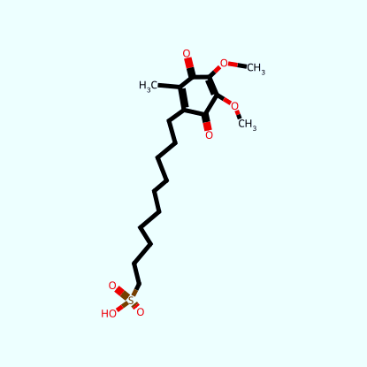 COC1=C(OC)C(=O)C(CCCCCCCCCCS(=O)(=O)O)=C(C)C1=O